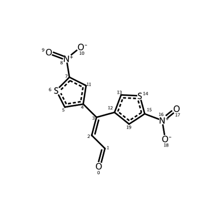 O=CC=C(c1csc([N+](=O)[O-])c1)c1csc([N+](=O)[O-])c1